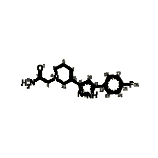 NC(=O)CN1CCC=C(c2cc(-c3ccc(F)cc3)[nH]n2)C1